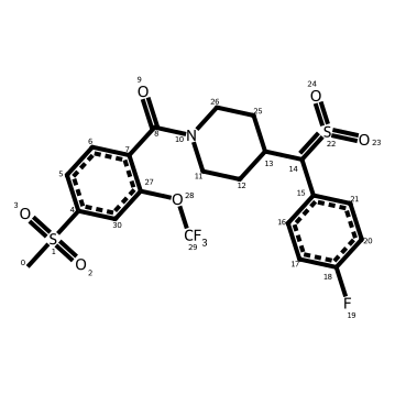 CS(=O)(=O)c1ccc(C(=O)N2CCC(C(c3ccc(F)cc3)=S(=O)=O)CC2)c(OC(F)(F)F)c1